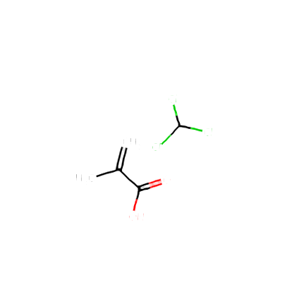 C=C(C)C(=O)O.ClC(Cl)Cl